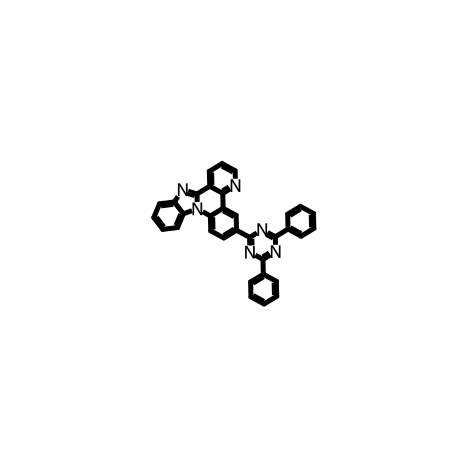 c1ccc(-c2nc(-c3ccccc3)nc(-c3ccc4c(c3)c3ncccc3c3nc5ccccc5n43)n2)cc1